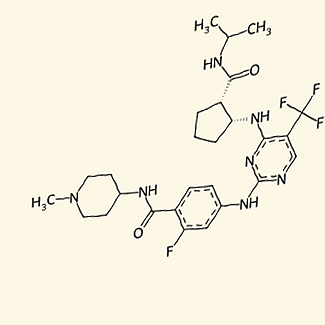 CC(C)NC(=O)[C@H]1CCC[C@H]1Nc1nc(Nc2ccc(C(=O)NC3CCN(C)CC3)c(F)c2)ncc1C(F)(F)F